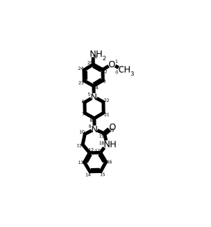 COc1cc(N2CCC(N3CCc4ccccc4NC3=O)CC2)ccc1N